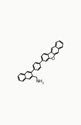 NCc1cc2ccccc2cc1-c1ccc(-c2ccc3c(c2)oc2cc4ccccc4cc23)cc1